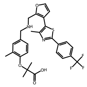 Cc1cc(CNCc2occc2-c2sc(-c3ccc(C(F)(F)F)cc3)nc2C)ccc1OC(C)(C)C(=O)O